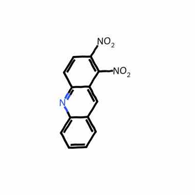 O=[N+]([O-])c1ccc2nc3ccccc3cc2c1[N+](=O)[O-]